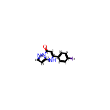 O=c1cc(-c2ccc(I)cc2)[nH]c2ccnn12